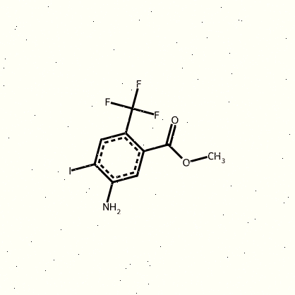 COC(=O)c1cc(N)c(I)cc1C(F)(F)F